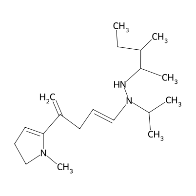 C=C(C/C=C/N(NC(C)C(C)CC)C(C)C)C1=CCCN1C